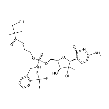 CC(C)(CO)C(=O)SCCOP(=O)(NCc1ccccc1C(F)(F)F)OC[C@H]1O[C@@H](n2ccc(N)nc2=O)C(C)(O)[C@H]1O